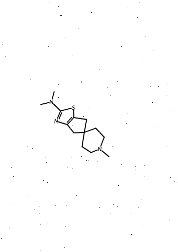 CN1CCC2(CC1)Cc1nc(N(C)C)sc1C2